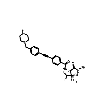 C[C@@](O)(C(F)F)[C@H](NC(=O)c1ccc(C#Cc2ccc(CN3CCNCC3)cc2)cc1)C(=O)NO